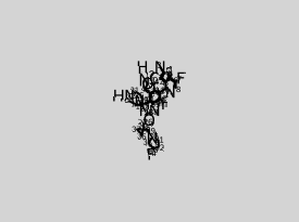 N#Cc1c(N)sc2c(F)cnc(-c3c4c(c5c(N6C7CCC6CNC7)nc(OCC6(CN7CC[C@H](F)C7)CC6)nc5c3F)COC4)c12